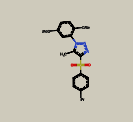 COc1ccc(OC)c(-n2nnc(S(=O)(=O)c3ccc(C(C)C)cc3)c2C)c1